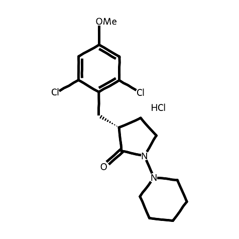 COc1cc(Cl)c(C[C@@H]2CCN(N3CCCCC3)C2=O)c(Cl)c1.Cl